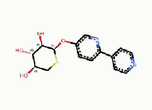 O[C@@H]1[C@@H](O)[C@@H](Oc2ccc(-c3ccncc3)nc2)SC[C@H]1O